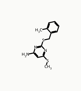 CSc1cc(N)nc(SCc2ccccc2C)n1